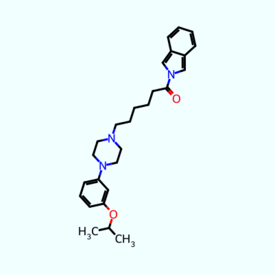 CC(C)Oc1cccc(N2CCN(CCCCCC(=O)n3cc4ccccc4c3)CC2)c1